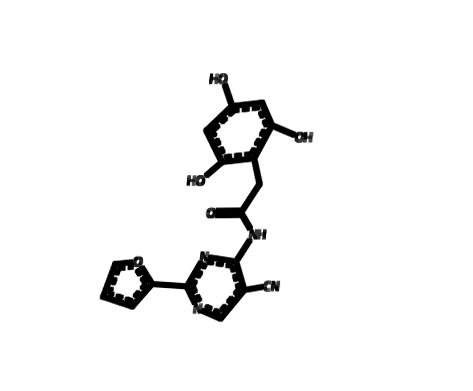 N#Cc1cnc(-c2ccco2)nc1NC(=O)Cc1c(O)cc(O)cc1O